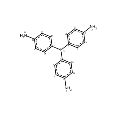 Nc1ccc(P(c2ccc(N)cc2)c2ccc(N)cc2)cc1